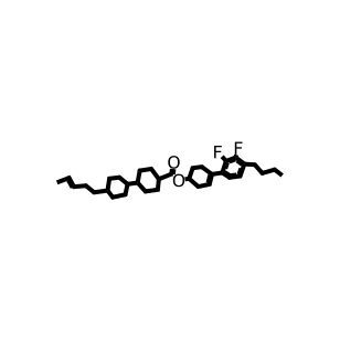 C/C=C/CCC1CCC(C2CCC(C(=O)OC3CC=C(c4ccc(CCCC)c(F)c4F)CC3)CC2)CC1